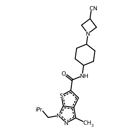 Cc1nn(CC(C)C)c2sc(C(=O)NC3CCC(N4CC(C#N)C4)CC3)cc12